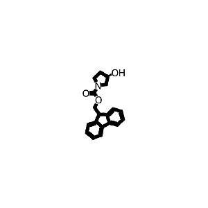 O=C(OCC1c2ccccc2-c2ccccc21)N1CC[C@@H](O)C1